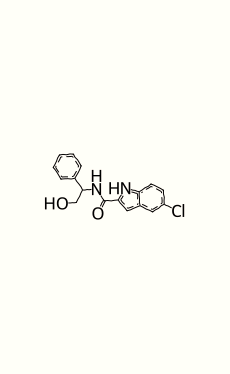 O=C(NC(CO)c1ccccc1)c1cc2cc(Cl)ccc2[nH]1